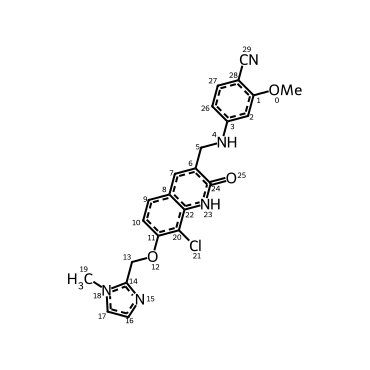 COc1cc(NCc2cc3ccc(OCc4nccn4C)c(Cl)c3[nH]c2=O)ccc1C#N